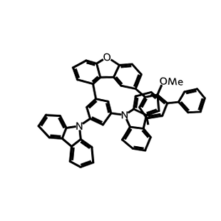 COc1c(-c2ccccc2)cc(C)cc1-c1ccc2oc3cccc(-c4cc(-n5c6ccccc6c6ccccc65)cc(-n5c6ccccc6c6ccccc65)c4)c3c2c1